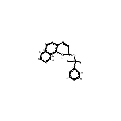 CC(C)(OC1C=Cc2ccc3ccccc3c2O1)c1ccccc1